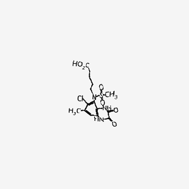 Cc1cc2[nH]c(=O)c(=O)[nH]c2c(N(CCCCC(=O)O)S(C)(=O)=O)c1Cl